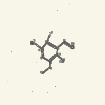 CCc1cc(Br)c(I)c(C=O)c1F